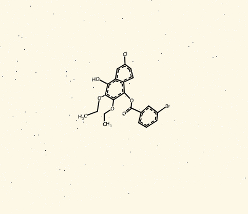 CCOc1c(OCC)c(OC(=O)c2cccc(Br)c2)c2ccc(Cl)cc2c1O